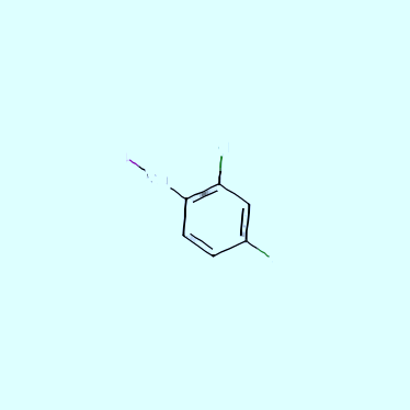 Clc1cc[c]([Mg][I])c(Cl)c1